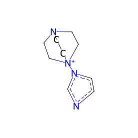 c1cn([N+]23CCN(CC2)CC3)cn1